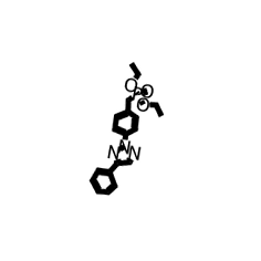 CCOP(=O)(Cc1ccc(-n2ncc(-c3ccccc3)n2)cc1)OCC